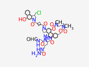 CN(CCN(C)C(=O)Oc1cc2c(c3ccccc13)CCN2C(=O)C12CC(C(=O)N3CC(CCl)c4c3cc(O)c3ccccc43)(C1)C2)C(=O)OCc1ccc(NC(=O)C(CCCNC(N)=O)NC(=O)CNC=O)cc1